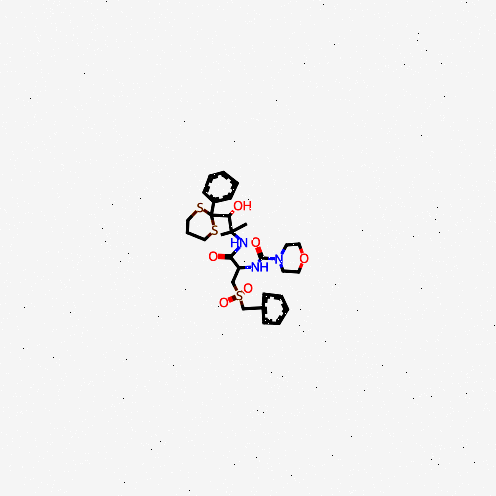 CC(C)(NC(=O)C(CS(=O)(=O)Cc1ccccc1)NC(=O)N1CCOCC1)C(O)C1(c2ccccc2)SCCCS1